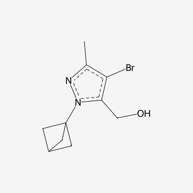 Cc1nn(C23CC(C2)C3)c(CO)c1Br